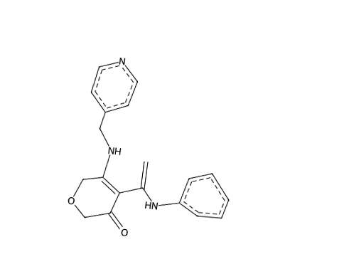 C=C(Nc1ccccc1)C1=C(NCc2ccncc2)COCC1=O